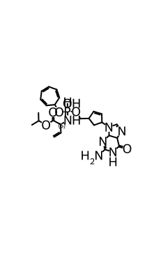 C=C[C@H](N[PH](O)(OCC1C=CC(N2C=NC3C(=O)NC(N)=NC32)C1)OC1C=CC=CC=C1)C(=O)OC(C)C